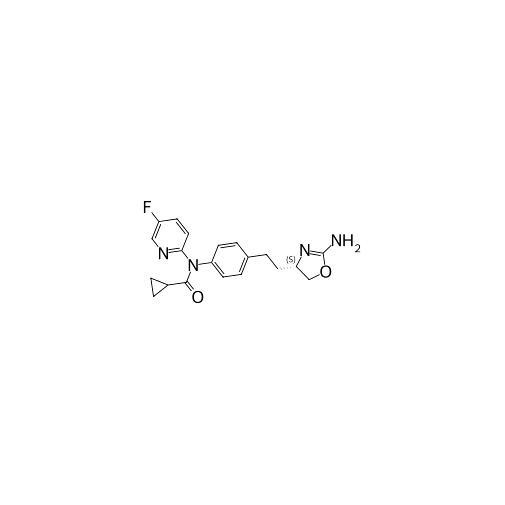 NC1=N[C@@H](CCc2ccc(N(C(=O)C3CC3)c3ccc(F)cn3)cc2)CO1